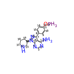 Nc1ncnc2c1c(-c1ccc(OP)cc1)nn2[C@@H]1CCCNC1